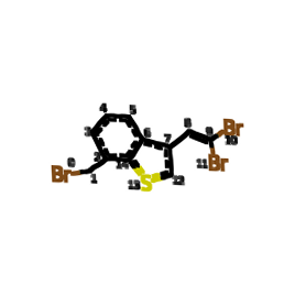 BrCc1cccc2c(C=C(Br)Br)csc12